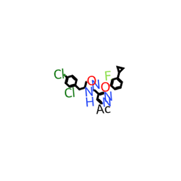 CC(=O)c1cc(C2=NOCC(Cc3ccc(Cl)cc3Cl)N2)c(Oc2cccc(C3CC3)c2F)nn1